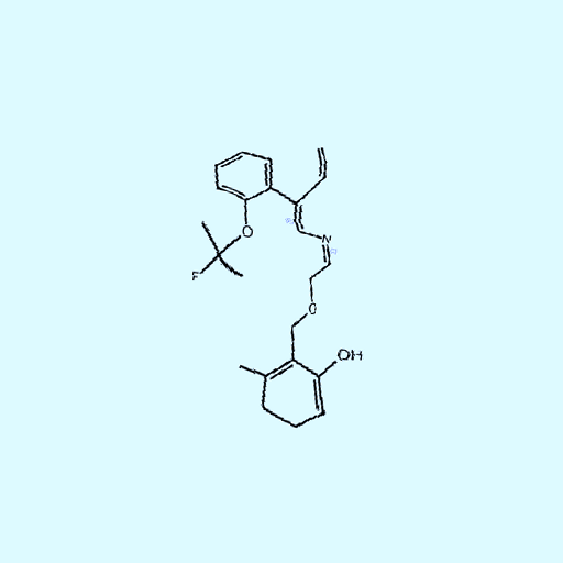 C=C/C(=C\N=C/COCC1=C(C)CCC=C1O)c1ccccc1OC(C)(C)F